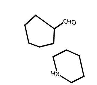 C1CCNCC1.O=CC1CCCCC1